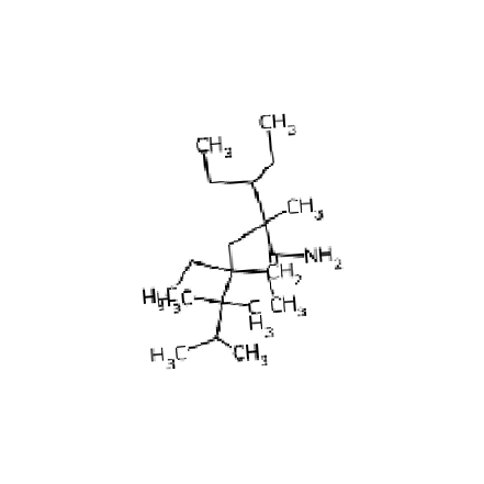 C=C(N)C(C)(CC(CC)(CC)C(C)(C)C(C)C)C(CC)CC